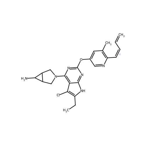 C=C/C=C\c1ncc(Oc2nc(N3CC4C(N)C4C3)c3c(Cl)c(CC)[nH]c3n2)cc1C